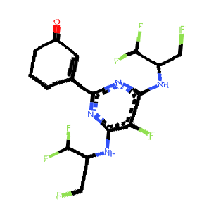 O=C1C=C(c2nc(NC(CF)C(F)F)c(F)c(NC(CF)C(F)F)n2)CCC1